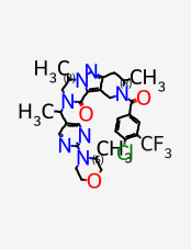 CC(c1cnc(N2CCOC[C@@H]2C)nc1)N1C[C@@H](C)n2nc3c(c2C1=O)CN(C(=O)c1ccc(Cl)c(C(F)(F)F)c1)[C@H](C)C3